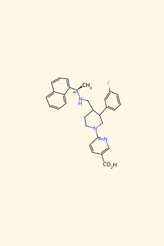 C[C@@H](NCC1CCN(c2ccc(C(=O)O)cn2)CC1c1cccc(F)c1)c1cccc2ccccc12